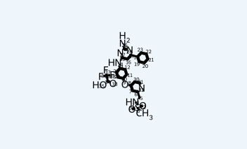 CS(=O)(=O)NCc1cc(Oc2ccc(Nc3cc(-c4ccccc4)nc(N)n3)cc2)ccn1.O=C(O)C(F)(F)F